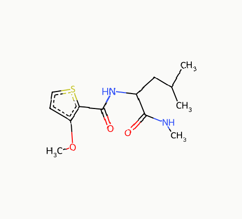 CNC(=O)C(CC(C)C)NC(=O)c1sccc1OC